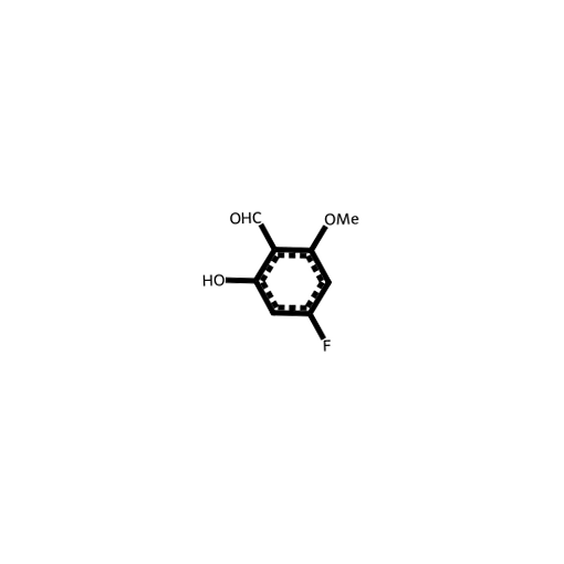 COc1cc(F)cc(O)c1C=O